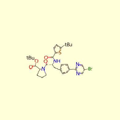 CC(C)(C)OC(=O)C1CCCN1C(=O)C(Cc1ccc(-c2ncc(Br)cn2)cc1)NC(=O)c1ccc(C(C)(C)C)s1